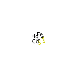 [Cd].[S]=[Fe].[S]=[Hg]